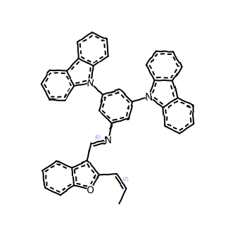 C/C=C\c1oc2ccccc2c1/C=N/c1cc(-n2c3ccccc3c3ccccc32)cc(-n2c3ccccc3c3ccccc32)c1